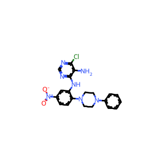 Nc1c(Cl)ncnc1Nc1cc([N+](=O)[O-])ccc1N1CCN(c2ccccc2)CC1